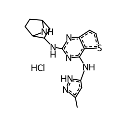 Cc1cc(Nc2nc(NC3CC4CCC3N4)nc3ccsc23)[nH]n1.Cl